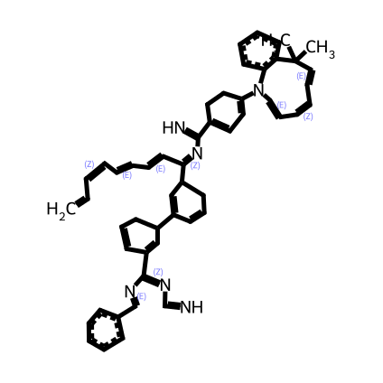 C=C\C=C/C=C/C=C/C(=N\C(=N)C1=CC=C(N2/C=C/C=C\C=C\C(C)(C)c3ccccc32)CC1)C1C=C(C2C=C(C(=N/C=N)/N=C/c3ccccc3)C=CC2)C=CC1